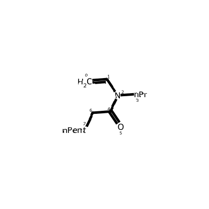 C=CN(CCC)C(=O)CCCCCC